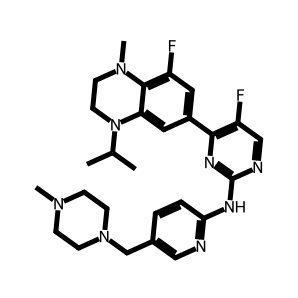 CC(C)N1CCN(C)c2c(F)cc(-c3nc(Nc4ccc(CN5CCN(C)CC5)cn4)ncc3F)cc21